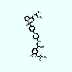 CC(C)OC(=O)C1CCCN1S(=O)(=O)c1ccc(N2CCC(NCC(O)c3ccc(O)c(NS(C)(=O)=O)c3)CC2)cc1